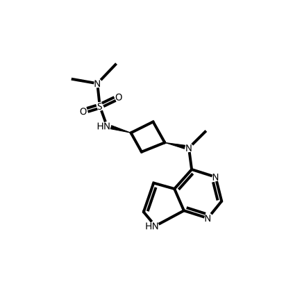 CN(C)S(=O)(=O)N[C@H]1C[C@@H](N(C)c2ncnc3[nH]ccc23)C1